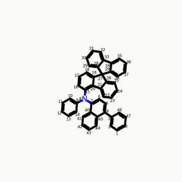 c1ccc(-c2ccc(N(c3ccccc3)c3cccc4c3-c3ccccc3C43c4ccccc4-c4ccccc43)c3ccccc23)cc1